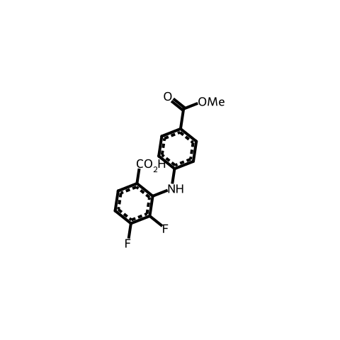 COC(=O)c1ccc(Nc2c(C(=O)O)ccc(F)c2F)cc1